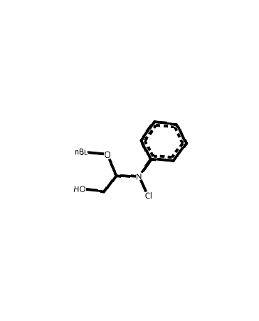 CCCCOC(CO)N(Cl)c1ccccc1